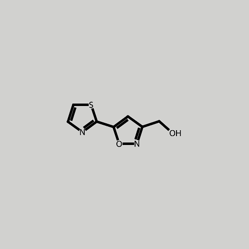 OCc1cc(-c2nccs2)on1